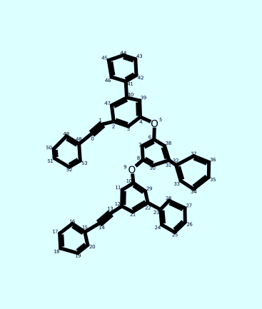 C(#Cc1cc(Oc2cc(Oc3cc(C#Cc4ccccc4)cc(-c4ccccc4)c3)cc(-c3ccccc3)c2)cc(-c2ccccc2)c1)c1ccccc1